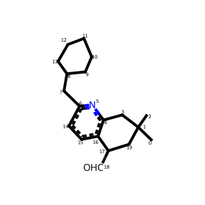 CC1(C)Cc2nc(CC3CCCCC3)ccc2C(C=O)C1